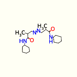 CC(CN=NCC(C)C(=O)NC1CCCCC1)C(=O)NC1CCCCC1